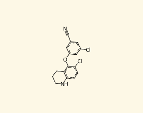 N#Cc1cc(Cl)cc(Oc2c(Cl)ccc3c2CCCN3)c1